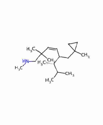 CNCC(C)(C)/C=C\C(CC1(C)CC1)[C@@H](C)C(C)C